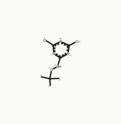 CC(C)(C)ONc1nc(Cl)nc(Cl)n1